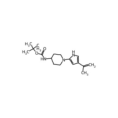 C=C(C)c1c[nH]c(N2CCC(NC(=O)OC(C)(C)C)CC2)c1